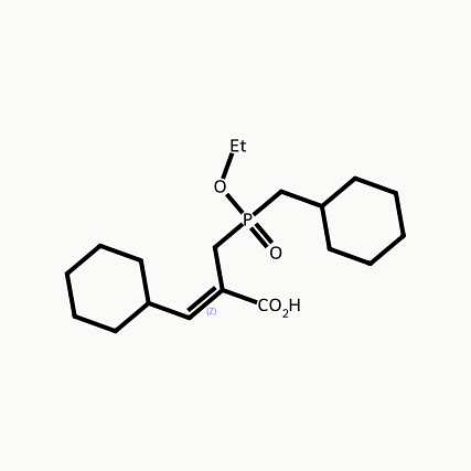 CCOP(=O)(C/C(=C\C1CCCCC1)C(=O)O)CC1CCCCC1